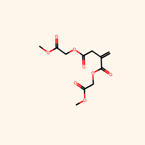 C=C(CC(=O)OCC(=O)OC)C(=O)OCC(=O)OC